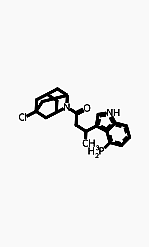 CC(CC(=O)N1C2CC3CC1CC(Cl)(C3)C2)c1c[nH]c2cccc(P)c12